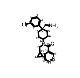 NC[C@]1(c2cccc(Cl)c2)CC[C@H](N(CC2CC2)C(=O)c2ccnnc2)CC1